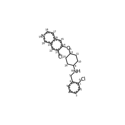 Clc1ccccc1CNC1CCC(Oc2cc3ccncc3cc2Cl)CC1